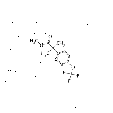 COC(=O)C(C)(C)c1ccc(OC(F)(F)F)nn1